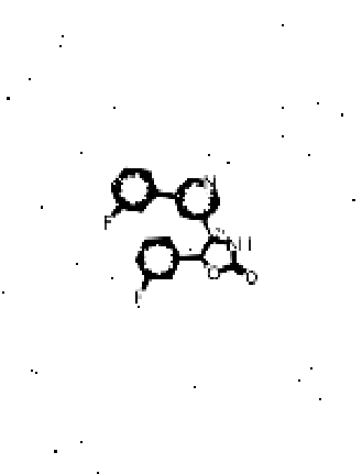 O=C1N[C@H](c2cncc(-c3cccc(F)c3)c2)C(c2cccc(F)c2)O1